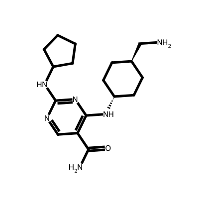 NC[C@H]1CC[C@H](Nc2nc(NC3CCCC3)ncc2C(N)=O)CC1